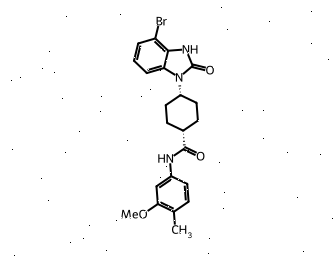 COc1cc(NC(=O)[C@H]2CC[C@@H](n3c(=O)[nH]c4c(Br)cccc43)CC2)ccc1C